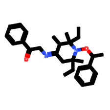 CCC1(C)C/C(=N/CC(=O)c2ccccc2)C(C)C(C)(CC)N1OC(C)c1ccccc1